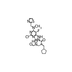 CN(Cc1nccs1)c1nc(Cl)nc(NNC(=O)[C@@H](CC2CCCC2)CN(O)C=O)c1F